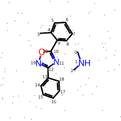 CNC.Cc1ccccc1-c1nc(-c2ccccc2)no1